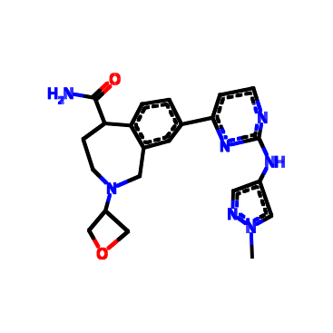 Cn1cc(Nc2nccc(-c3ccc4c(c3)CN(C3COC3)CCC4C(N)=O)n2)cn1